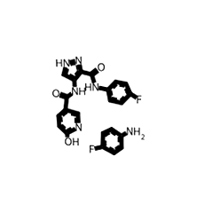 Nc1ccc(F)cc1.O=C(Nc1c[nH]nc1C(=O)Nc1ccc(F)cc1)c1ccc(O)nc1